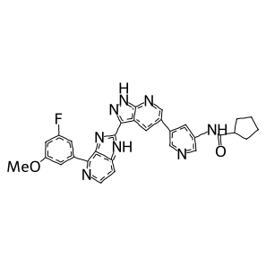 COc1cc(F)cc(-c2nccc3[nH]c(-c4n[nH]c5ncc(-c6cncc(NC(=O)C7CCCC7)c6)cc45)nc23)c1